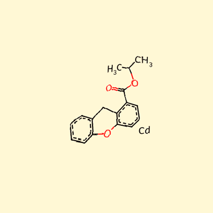 CC(C)OC(=O)c1cccc2c1Cc1ccccc1O2.[Cd]